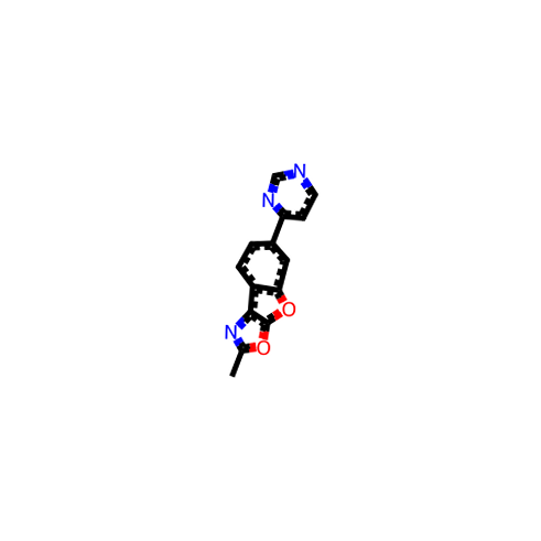 Cc1nc2c(o1)oc1cc(-c3ccncn3)ccc12